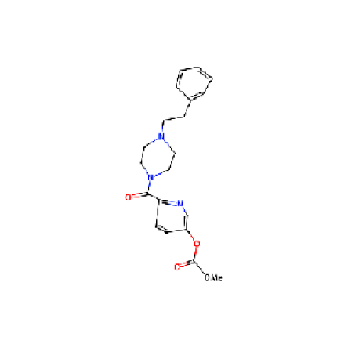 COC(=O)Oc1ccc(C(=O)N2CCN(CCc3ccccc3)CC2)nc1